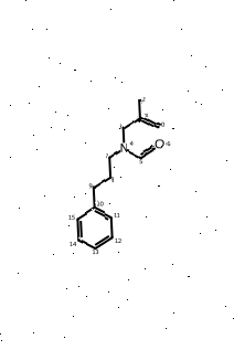 C=C(C)CN(C=O)CCCc1ccccc1